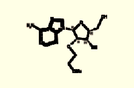 COCCO[C@H]1[C@@H](O)[C@@H](CO)O[C@H]1n1cnc2c(N)ncnc21